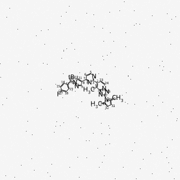 Cc1c(-c2nccc(-c3cnn(C(c4ccc(F)cc4)C(C)(C)C)c3)n2)ccn2nc(-n3c(C)ccc3C)nc12